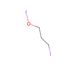 ICCCOI